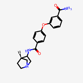 NC(=O)c1cccc(Oc2ccc(C(=O)NC3CN4CC[C@H]3C4)cc2)c1